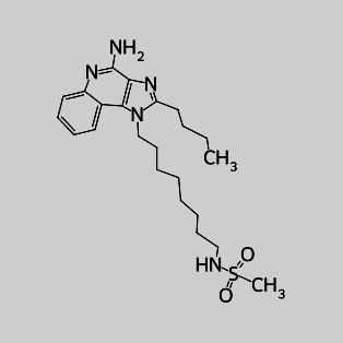 CCCCc1nc2c(N)nc3ccccc3c2n1CCCCCCCCNS(C)(=O)=O